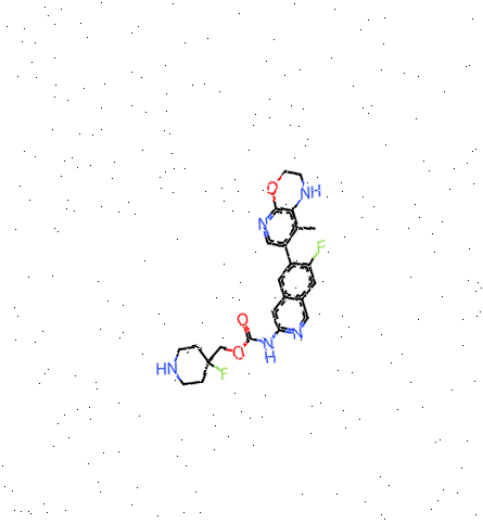 Cc1c(-c2cc3cc(NC(=O)OCC4(F)CCNCC4)ncc3cc2F)cnc2c1NCCO2